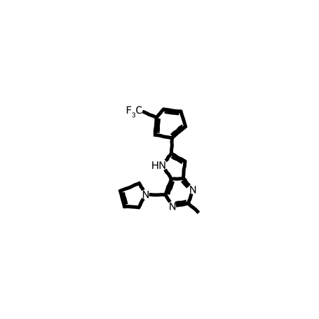 Cc1nc(N2CC=CC2)c2[nH]c(-c3cccc(C(F)(F)F)c3)cc2n1